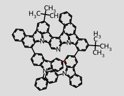 CC(C)(C)c1cc(-c2ccc3c(c2)c2ccccc2n3-c2ccccc2)c2c(c1)c1cc3ccccc3c3c4c5c6cc(C(C)(C)C)cc7c8c9ccccc9cc(-c9ccc%10c(c9)c9ccccc9n%10-c9ccccc9)c8n(c5cnc4n2c13)c67